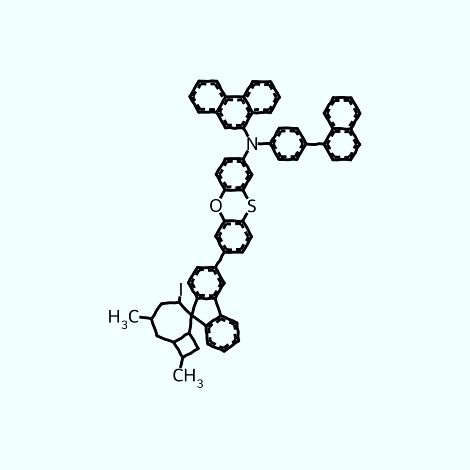 CC1CC2C(C)CC2C2(c3ccccc3-c3cc(-c4ccc5c(c4)Oc4ccc(N(c6ccc(-c7cccc8ccccc78)cc6)c6cc7ccccc7c7ccccc67)cc4S5)ccc32)C(I)C1